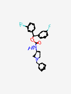 O=C(NC1CCN(Cc2ccccc2)C1)OC(c1cccc(F)c1)c1cccc(F)c1